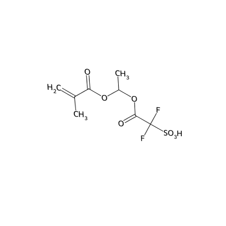 C=C(C)C(=O)OC(C)OC(=O)C(F)(F)S(=O)(=O)O